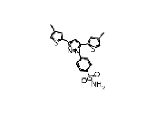 Cc1csc(-c2cc(-c3cc(C)cs3)n(-c3ccc(S(N)(=O)=O)cc3)n2)c1